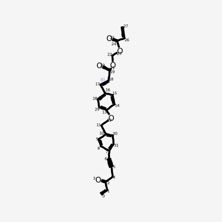 C=CC(=O)CC#Cc1ccc(COc2ccc(/C=C/C(=O)OCOC(=O)C=C)cc2)cc1